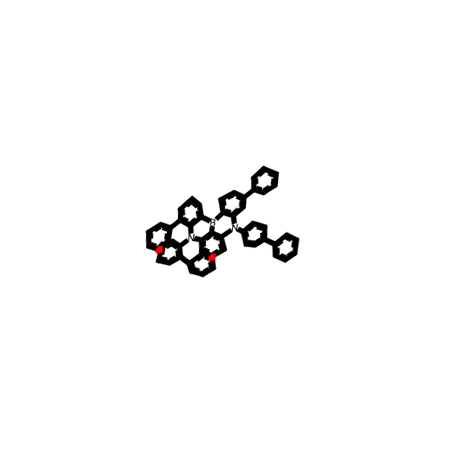 c1ccc(-c2ccc(N3c4cc(-c5ccccc5)ccc4B4c5cccc(-c6ccccc6)c5N(c5ccccc5-c5ccccc5)c5cccc3c54)cc2)cc1